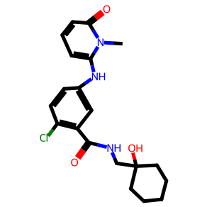 Cn1c(Nc2ccc(Cl)c(C(=O)NCC3(O)CCCCC3)c2)cccc1=O